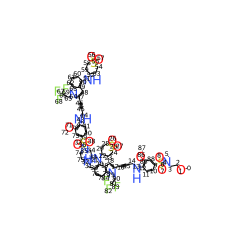 COCCN(C)S(=O)(=O)c1ccc(NCC#Cc2cc3c(NC4CCS(=O)(=O)CC4)c(CN4CCN(S(=O)(=O)c5ccc(NCC#Cc6cc7c(NC8CCS(=O)(=O)CC8)cccc7n6CC(F)(F)F)c(OC)c5)CC4)ccc3n2CC(F)(F)F)c(OC)c1